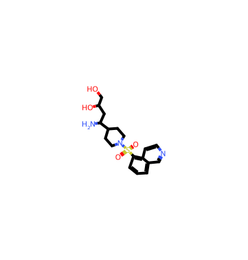 NC(CC(O)CO)C1CCN(S(=O)(=O)c2cccc3cnccc23)CC1